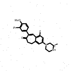 COc1ccc(C2=Cc3c(F)cc(N4CCN[C@H](C)C4)cc3CCC2=O)cc1C(C)C